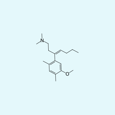 CCC/C=C(/CCN(C)C)c1cc(OC)c(C)cc1C